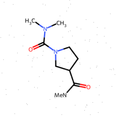 CNC(=O)C1CCN(C(=O)N(C)C)C1